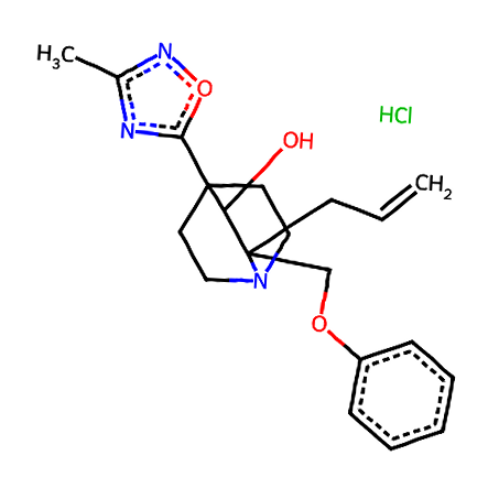 C=CCC1(COc2ccccc2)C(O)C2(c3nc(C)no3)CCN1CC2.Cl